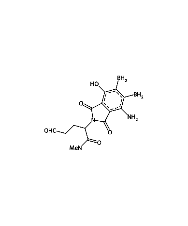 Bc1c(B)c(O)c2c(c1N)C(=O)N(C(CCC=O)C(=O)NC)C2=O